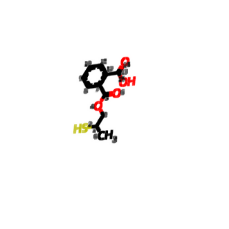 CC(S)COC(=O)c1ccccc1C(=O)O